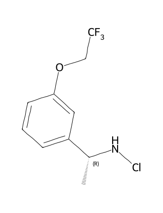 C[C@@H](NCl)c1cccc(OCC(F)(F)F)c1